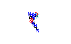 N#Cc1ccc(N2CCN(C(=O)C[C@@H]3CN(c4cc(C(F)(F)F)c(=O)[nH]n4)c4cc(C#N)ccc4O3)CC2)nc1